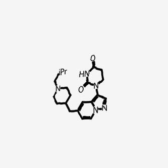 CC(C)CN1CCC(Cc2ccn3ncc(N4CCC(=O)NC4=O)c3c2)CC1